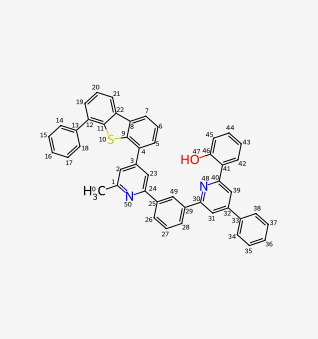 Cc1cc(-c2cccc3c2sc2c(-c4ccccc4)cccc23)cc(-c2cccc(-c3cc(-c4ccccc4)cc(-c4ccccc4O)n3)c2)n1